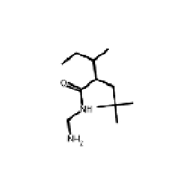 CCC(C)C(CC(C)(C)C)C(=O)NCN